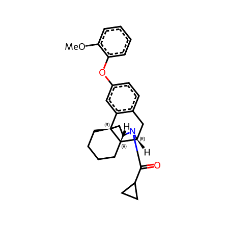 COc1ccccc1Oc1ccc2c(c1)[C@@]13CCCC[C@H]1[C@@H](C2)N(C(=O)C1CC1)CC3